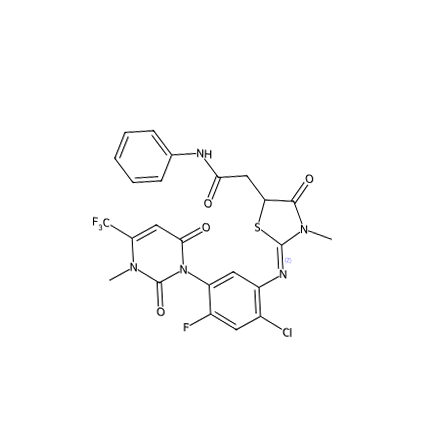 CN1C(=O)C(CC(=O)Nc2ccccc2)S/C1=N\c1cc(-n2c(=O)cc(C(F)(F)F)n(C)c2=O)c(F)cc1Cl